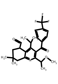 COC(C)c1nc2c(c(C(C)C)c1C(=O)c1ccc(C(F)(F)F)cc1)C(C=O)CC(C)(C)C2